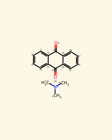 CN(C)C.O=C1c2ccccc2C(=O)c2ccccc21